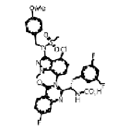 COc1ccc(CN(c2nn(C)c3c(-n4c([C@H](Cc5cc(F)cc(F)c5)NC(=O)O)nc5cc(F)ccc5c4=O)ccc(Cl)c23)S(C)(=O)=O)cc1